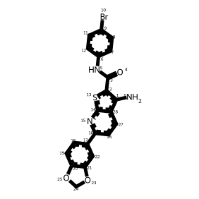 Nc1c(C(=O)Nc2ccc(Br)cc2)sc2nc(-c3ccc4c(c3)OCO4)ccc12